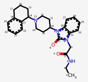 CCNC(=O)Cn1c(=O)n(C2CCN(C3CCCc4ccccc43)CC2)c2ccccc21